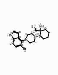 CCC(=O)C1(N)CCCC[C@H]1N1CCN(c2c(Br)cnc3[nH]ccc23)CC1